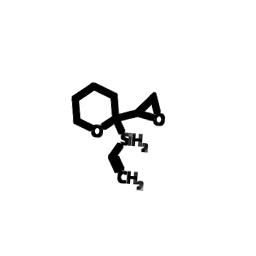 C=C[SiH2]C1(C2CO2)CCCCO1